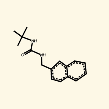 CC(C)(C)NC(=O)NCc1ccc2ccccc2c1